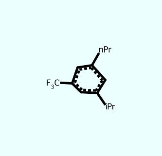 CCCc1cc(C(C)C)cc(C(F)(F)F)c1